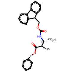 CCCC(C(=O)OCc1ccccc1)[C@H](NC(=O)OCC1c2ccccc2-c2ccccc21)C(=O)O